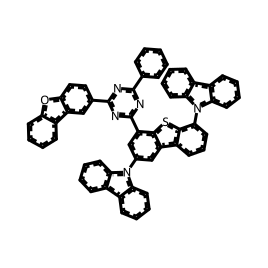 c1ccc(-c2nc(-c3ccc4oc5ccccc5c4c3)nc(-c3cc(-n4c5ccccc5c5ccccc54)cc4c3sc3c(-n5c6ccccc6c6ccccc65)cccc34)n2)cc1